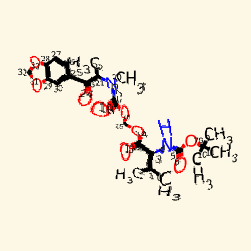 CC(C)[C@H](NC(=O)OC(C)(C)C)C(=O)OCOC(=O)N(C)C(C)C(=O)c1ccc2c(c1)OCO2